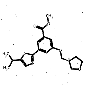 COC(=O)c1cc(OC[C@H]2CCOC2)cc(-c2ncc(C(C)C)s2)c1